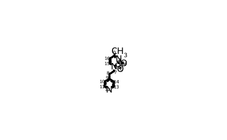 CC1=NS(=O)(=O)N(CCc2ccncc2)C=C1